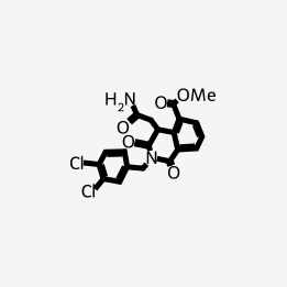 COC(=O)c1cccc2c1C(CC(N)=O)C(=O)N(Cc1ccc(Cl)c(Cl)c1)C2=O